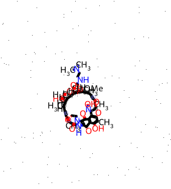 CO[C@H]1/C=C/O[C@@]2(C)Oc3c(C)c(O)c4c(c3/C2=N/O)C(=O)C(N2CCOCC2)=C(NC(=O)/C(C)=C\C=C\[C@H](C)[C@H](O)[C@@H](C)[C@@H](O)[C@@H](C)[C@H](OC(=O)NCCN(C)C)[C@@H]1C)C4=O